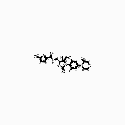 O=C(NC[C@@H]1OC(=O)N2c3c(F)cc(N4CCOCC4=O)cc3OC[C@@H]12)c1ccc(Cl)s1